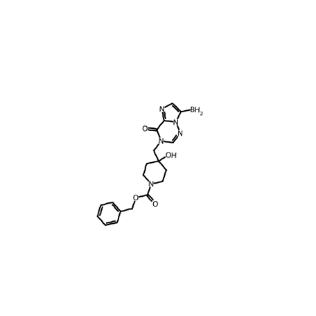 Bc1cnc2c(=O)n(CC3(O)CCN(C(=O)OCc4ccccc4)CC3)cnn12